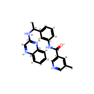 Cc1cncc(C(=O)Nc2cccc(C(C)Nc3cnc4ccccc4n3)c2)c1